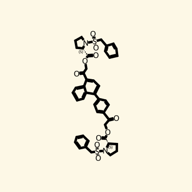 O=C(COC(=O)[C@@H]1CCCN1S(=O)(=O)Cc1ccccc1)c1ccc(-c2ccc(C(=O)COC(=O)[C@@H]3CCCN3S(=O)(=O)Cc3ccccc3)c3ccccc23)cc1